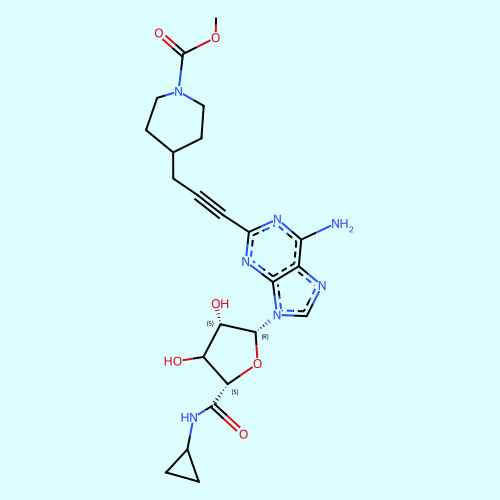 COC(=O)N1CCC(CC#Cc2nc(N)c3ncn([C@@H]4O[C@H](C(=O)NC5CC5)C(O)[C@@H]4O)c3n2)CC1